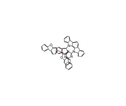 c1ccc(-c2nc(-c3ccccc3)nc(-n3c4ccccc4c4ccc5c6ccccc6n(-c6cc(-c7ccc8c(c7)oc7ccccc78)c7oc8ccccc8c7c6)c5c43)n2)cc1